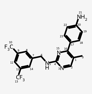 Cc1cnc(NCc2cc(C(F)(F)F)cc(C(F)(F)F)c2)nc1-c1ccc(N)cc1